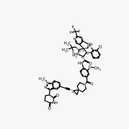 COc1cc(C(=O)N2CCC3(CC2)C[C@@H]3C#Cc2ccc3c(c2)c(C2CCC(=O)NC2=O)nn3C)ccc1NC(=O)[C@@H]1N[C@@H](CC(C)(C)C)[C@@]2(CNc3cc(C(F)(F)F)ncc32)[C@H]1c1cccc(Cl)c1F